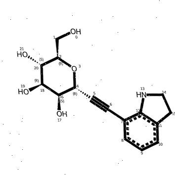 OC[C@H]1O[C@H](C#Cc2cccc3c2NCC3)[C@@H](O)[C@@H](O)[C@@H]1O